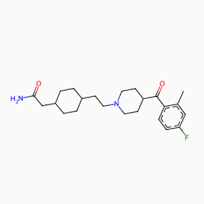 Cc1cc(F)ccc1C(=O)C1CCN(CCC2CCC(CC(N)=O)CC2)CC1